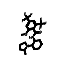 COc1cc(C(F)(F)F)cc(C(F)(F)F)c1C(=O)NC1CCCCC1N1CCCC1C